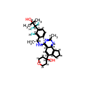 Cc1nc(N[C@H](C)c2cccc(C(F)(F)C(C)(C)O)c2F)c2cc(C3(O)CCOCC3)c3c(c2n1)CCC3